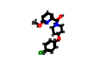 CCOc1cccc(C(=O)N2CCC(Oc3ccc(Cl)cc3)CC2)n1